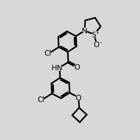 O=C(Nc1cc(Cl)cc(OC2CCC2)c1)c1cc(N2CCC[S+]2[O-])ccc1Cl